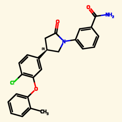 Cc1ccccc1Oc1cc([C@H]2CC(=O)N(c3cccc(C(N)=O)c3)C2)ccc1Cl